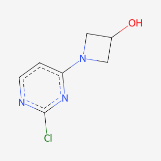 OC1CN(c2ccnc(Cl)n2)C1